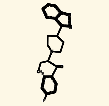 CCC(C(=O)c1ccc(F)cc1)N1CCC(c2nsc3ccccc23)CC1